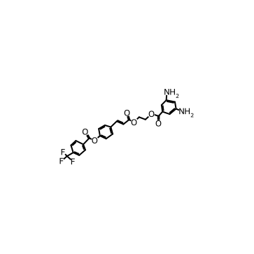 Nc1cc(N)cc(C(=O)OCCOC(=O)C=Cc2ccc(OC(=O)c3ccc(C(F)(F)F)cc3)cc2)c1